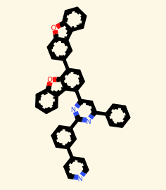 c1ccc(-c2cc(-c3ccc(-c4ccc5oc6ccccc6c5c4)c4oc5ccccc5c34)nc(-c3cccc(-c4ccncc4)c3)n2)cc1